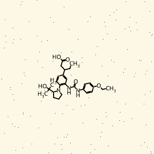 CCOc1ccc(NC(=O)Nc2cc(C(CC)CC(=O)O)ccc2N2CCCC2C(C)(C)O)cc1